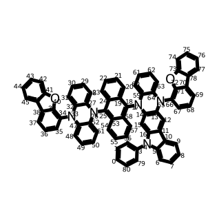 c1ccc(-n2c3ccccc3c3cc4c(cc32)N(c2c3ccccc3c(N3c5ccccc5N(c5cccc6c5oc5ccccc56)c5ccccc53)c3ccccc23)c2ccccc2N4c2cccc3c2oc2ccccc23)cc1